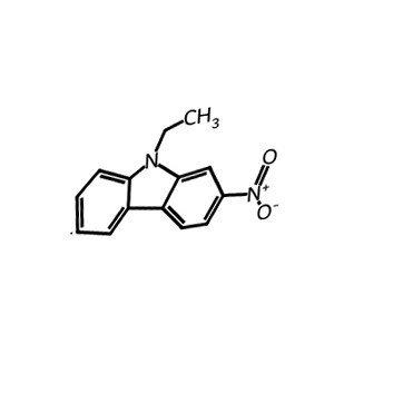 CCn1c2cc[c]cc2c2ccc([N+](=O)[O-])cc21